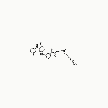 CCCOCCOCCN(C)C/C=C/C(=O)Nc1cccc(Nc2ncc(F)c(Nc3cccc(C)c3)n2)c1